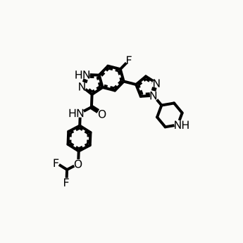 O=C(Nc1ccc(OC(F)F)cc1)c1n[nH]c2cc(F)c(-c3cnn(C4CCNCC4)c3)cc12